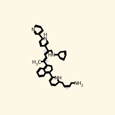 C/C(=C\C=C(/CNC1C=CC=CC1)C1=CNC(c2cccnc2)C=C1)C1=c2ccccc2=C(C2=CC=CC(C/C=C\CN)N2)CC1